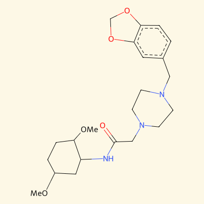 COC1CCC(OC)C(NC(=O)CN2CCN(Cc3ccc4c(c3)OCO4)CC2)C1